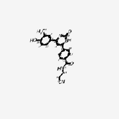 Cc1cc(-c2cc(-c3ccc(C(=O)NCCC#N)cc3)[nH]c(=O)n2)ccc1O